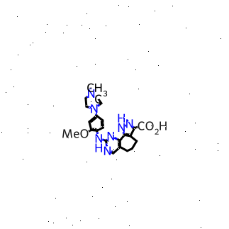 COc1cc(N2CCN(C)CC2)ccc1Nc1ncc2c(n1)-c1[nH]nc(C(=O)O)c1CCC2